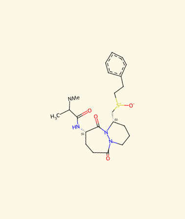 CNC(C)C(=O)N[C@H]1CCC(=O)N2CCC[C@@H](C[S+]([O-])CCc3ccccc3)N2C1=O